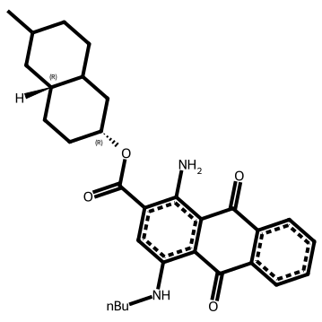 CCCCNc1cc(C(=O)O[C@@H]2CC[C@@H]3CC(C)CCC3C2)c(N)c2c1C(=O)c1ccccc1C2=O